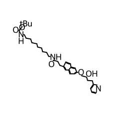 CC(C)(C)OC(=O)NCCCCCCCCCCNC(=O)CCc1ccc2cc(OCC(O)CCc3cccnc3)ccc2c1